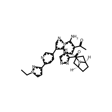 CCn1ccc(-c2ccc(-c3cnn4c(N)c(C(C)=O)c([C@@H]5C[C@H]6CC[C@@H](C5)N6C(=O)c5nnc[nH]5)nc34)cn2)n1